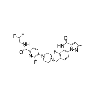 Cc1cc2c(=O)[nH]c3c(F)c(CN4CCN(c5ccc(C(=O)NCC(F)F)nc5F)CC4)ccc3n2n1